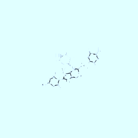 CCOc1cc(Cl)c(-c2nc3cnc(NCc4ccc(F)c(F)c4)nc3n2C[C@@H]2CCCNC2)c(Cl)c1